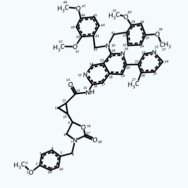 COc1ccc(CN2CC(C3CC3C(=O)Nc3cc4cc(-c5cnccc5C)nc(N(Cc5ccc(OC)cc5OC)Cc5ccc(OC)cc5OC)c4cn3)OC2=O)cc1